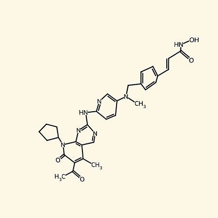 CC(=O)c1c(C)c2cnc(Nc3ccc(N(C)Cc4ccc(/C=C/C(=O)NO)cc4)cn3)nc2n(C2CCCC2)c1=O